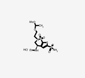 CCN[C@H]1CN(CCOC(C)OC)S(=O)(=O)c2sc(S(N)(=O)=O)cc21.Cl